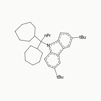 CCCC(C1CCCCCC1)(C1CCCCCC1)n1c2ccc(C(C)(C)C)cc2c2cc(C(C)(C)C)ccc21